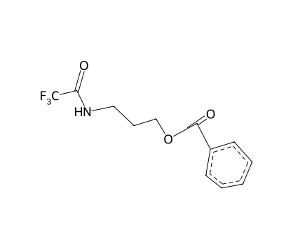 O=C(OCCCNC(=O)C(F)(F)F)c1ccccc1